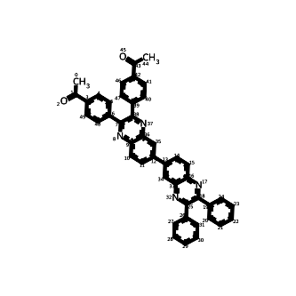 CC(=O)c1ccc(-c2nc3ccc(-c4ccc5nc(-c6ccccc6)c(-c6ccccc6)nc5c4)cc3nc2-c2ccc(C(C)=O)cc2)cc1